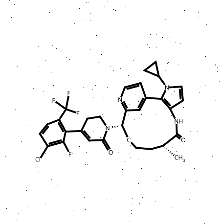 C[C@@H]1CCC[C@H](N2CCC(c3c(C(F)(F)F)ccc(Cl)c3F)=CC2=O)c2cc(ccn2)-c2c(ccn2C2CC2)NC1=O